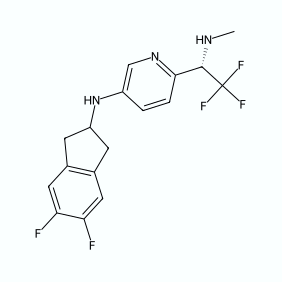 CN[C@@H](c1ccc(NC2Cc3cc(F)c(F)cc3C2)cn1)C(F)(F)F